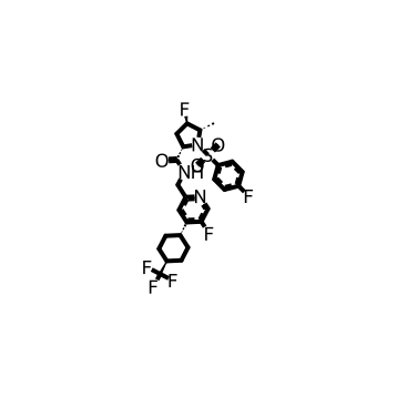 C[C@H]1[C@H](F)C[C@@H](C(=O)NCc2cc([C@H]3CC[C@H](C(F)(F)F)CC3)c(F)cn2)N1S(=O)(=O)c1ccc(F)cc1